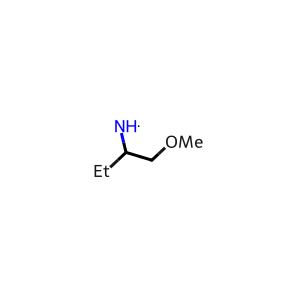 CCC([NH])COC